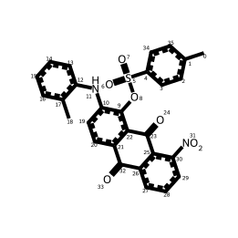 Cc1ccc(S(=O)(=O)Oc2c(Nc3ccccc3C)ccc3c2C(=O)c2c(cccc2[N+](=O)[O-])C3=O)cc1